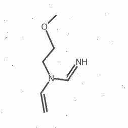 C=CN(C=N)CCOC